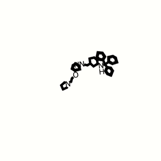 c1ccc(C(NC2CCCC(CNc3cccc(OCCN4CCCC4)c3)C2)(c2ccccc2)c2ccccc2)cc1